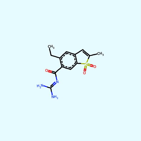 CCc1cc2c(cc1C(=O)N=C(N)N)S(=O)(=O)C(C)=C2